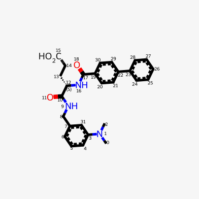 CN(C)c1cccc(CNC(=O)[C@H](CCC(=O)O)NC(=O)c2ccc(-c3ccccc3)cc2)c1